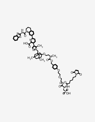 Cc1c(-c2ccc(-c3ccc4c(c3)N(C(=O)Nc3nc5ccccc5s3)CCC4)nc2C(=O)O)cnn1CC12CC3(C)CC(C)(C1)CC(OCCN(C)C(=O)OCc1[c]cc(OCCOCCNC(=O)[C@H](CS(=O)(=O)O)NC(=O)CCCCCN4C(=O)C=CC4=O)cc1)(C3)C2